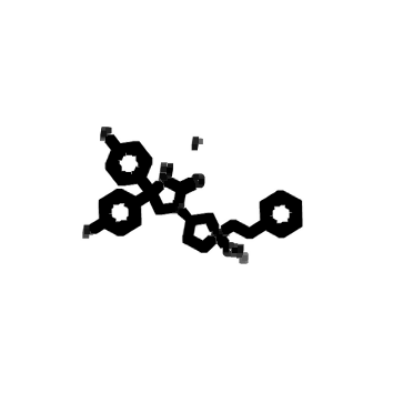 C[N+]1(CCc2ccccc2)CC[C@@H](N2CC(c3ccc(F)cc3)(c3ccc(F)cc3)NC2=O)C1.[I-]